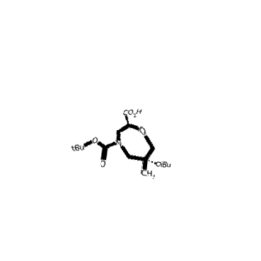 CC(C)CO[C@@]1(C)CO[C@H](C(=O)O)CN(C(=O)OC(C)(C)C)C1